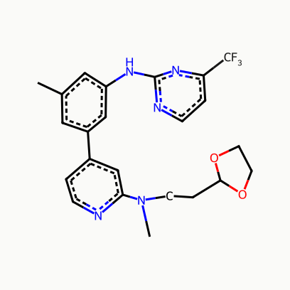 Cc1cc(Nc2nccc(C(F)(F)F)n2)cc(-c2ccnc(N(C)CCC3OCCO3)c2)c1